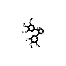 COc1cc(-c2[nH]cnc2-c2cc(OC)c(OC)c(OC)c2)cc(N)c1OC